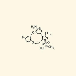 Cc1nn(S(=O)(=O)N(C)C)c2c1-c1cnc(N)c(c1)OCc1cc(F)ccc1OCCC2